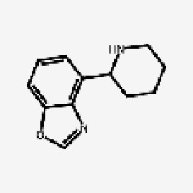 c1cc(C2CCCCN2)c2ncoc2c1